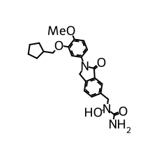 COc1ccc(N2Cc3ccc(CN(O)C(N)=O)cc3C2=O)cc1OCC1CCCC1